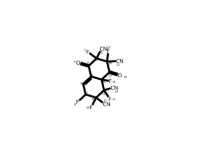 N#CC1(F)C(=O)C2=CC(F)C(F)(C#N)C(F)(C#N)C2(F)C(=O)C1(F)C#N